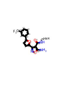 CCCCCCNC(=O)c1c(-c2ccc(-c3cccc(C(F)(F)F)c3)o2)noc1N